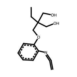 C=C=Nc1ccccc1OCC(CC)(CO)CO